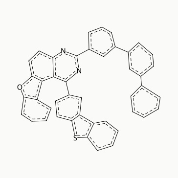 c1ccc(-c2cccc(-c3cccc(-c4nc(-c5ccc6sc7ccccc7c6c5)c5c(ccc6oc7ccccc7c65)n4)c3)c2)cc1